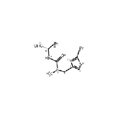 CC(C)c1nc(CN(C)C(=O)N[C@H](C=O)C(C)C)cs1